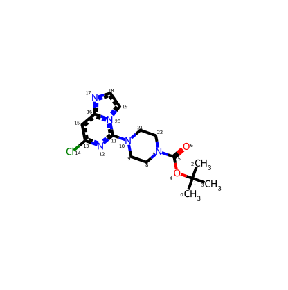 CC(C)(C)OC(=O)N1CCN(c2nc(Cl)cc3nccn23)CC1